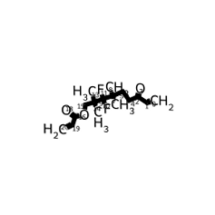 C=CC(=O)CCC(C)(C)C(F)(F)C(C)(C)COC(=O)C=C